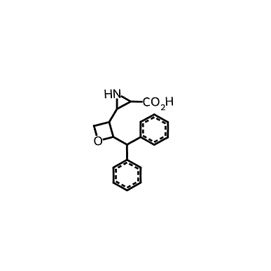 O=C(O)C1NC1C1COC1C(c1ccccc1)c1ccccc1